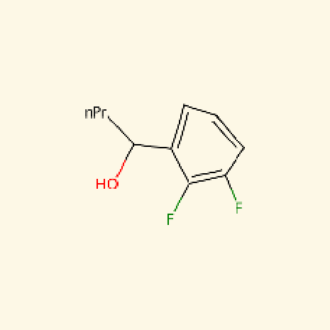 CCCC(O)c1cccc(F)c1F